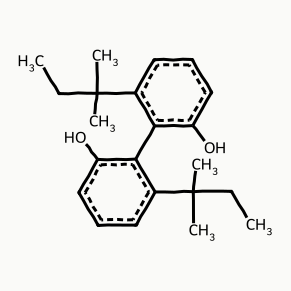 CCC(C)(C)c1cccc(O)c1-c1c(O)cccc1C(C)(C)CC